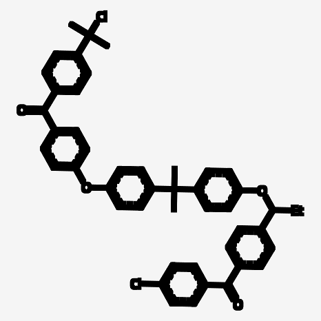 CCC(Oc1ccc(C(C)(C)c2ccc(Oc3ccc(C(=O)c4ccc(C(C)(C)Cl)cc4)cc3)cc2)cc1)c1ccc(C(=O)c2ccc(Cl)cc2)cc1